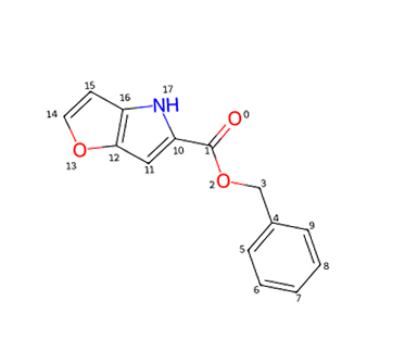 O=C(OCc1ccccc1)c1cc2occc2[nH]1